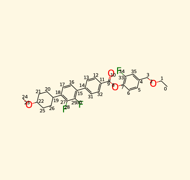 CCOCc1ccc(OC(=O)c2ccc(-c3ccc(C4CCC(OC)CC4)c(F)c3F)cc2)c(F)c1